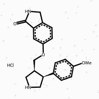 COc1ccc([C@H]2CNC[C@H]2COc2ccc3c(c2)C(=O)NC3)cc1.Cl